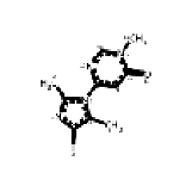 Cc1nc(I)c(C)n1-c1cc(=O)n(C)cn1